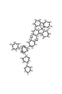 c1ccc(-c2ccc(-c3cc(-c4ccc5c(c4)Oc4ccc6c(c4O5)-c4ccccc4C6(c4ccccc4)c4ccccc4)nc(-c4ccccc4)n3)cc2)cc1